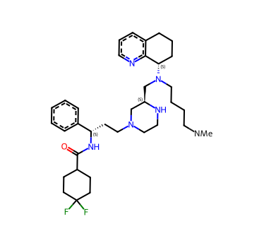 CNCCCCN(C[C@@H]1CN(CC[C@H](NC(=O)C2CCC(F)(F)CC2)c2ccccc2)CCN1)[C@H]1CCCc2cccnc21